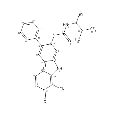 CC(C)C(NC(=O)Cn1cc2[nH]c3c(C#N)c(=O)ccc3c2cc1-c1ccccc1)C(O)C(F)(F)F